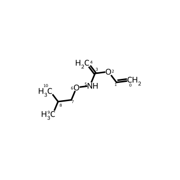 C=COC(=C)NOCC(C)C